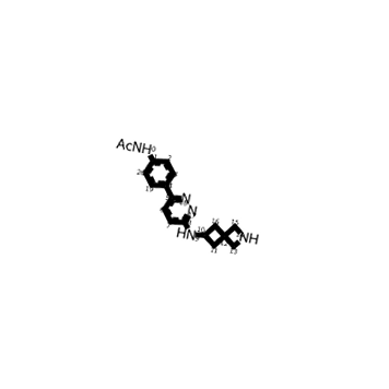 CC(=O)Nc1ccc(-c2ccc(NC3CC4(CNC4)C3)nn2)cc1